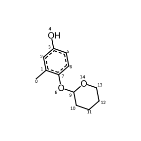 Cc1cc(O)ccc1OC1CCCCO1